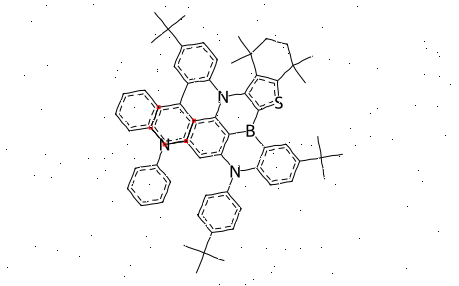 CC(C)(C)c1ccc(N2c3ccc(C(C)(C)C)cc3B3c4sc5c(c4N(c4ccc(C(C)(C)C)cc4-c4ccccc4)c4cc(N(c6ccccc6)c6ccccc6)cc2c43)C(C)(C)CCC5(C)C)cc1